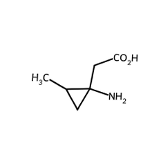 CC1CC1(N)CC(=O)O